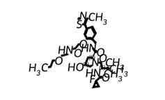 CCCOCCNC(=O)COc1cc(-c2scnc2C)ccc1CNC(=O)[C@@H]1C[C@@H](O)CN1C(=O)[C@@H](NC(=O)C1(F)CC1)C(C)(C)C